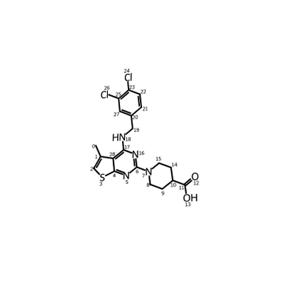 Cc1csc2nc(N3CCC(C(=O)O)CC3)nc(NCc3ccc(Cl)c(Cl)c3)c12